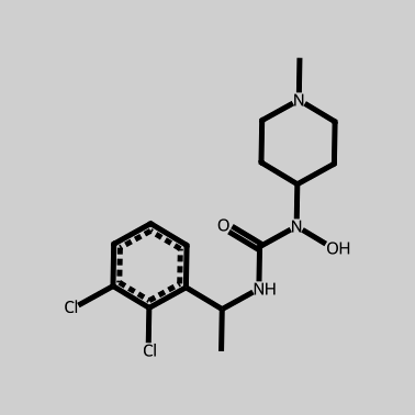 CC(NC(=O)N(O)C1CCN(C)CC1)c1cccc(Cl)c1Cl